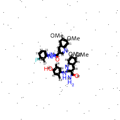 COc1cc2cc(C(=O)NNc3cccc(F)c3C)cnc2cc1OC.COc1cc2cc(C(N)=O)c(Nc3cc(C)c(O)cc3C)nc2cc1OC